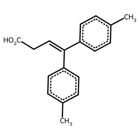 Cc1ccc(C(=CCC(=O)O)c2ccc(C)cc2)cc1